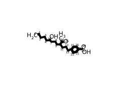 C=CCCCC(O)CCCC(CCCc1ccc(C(=O)O)cc1)C(C)=O